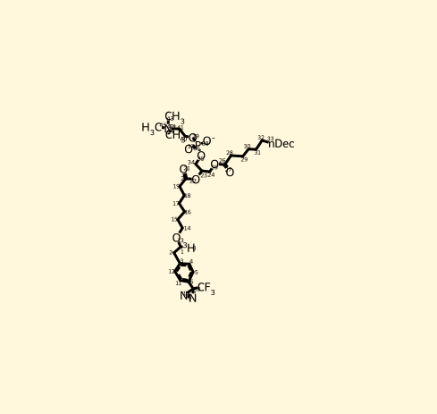 [3H]C(Cc1ccc(C2(C(F)(F)F)N=N2)cc1)OCCCCCCC(=O)OC(COC(=O)CCCCCCCCCCCCCCC)COP(=O)([O-])OCC[N+](C)(C)C